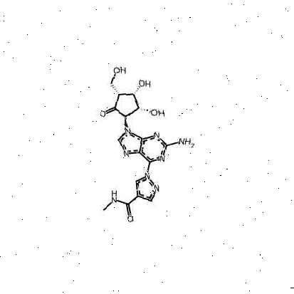 CNC(=O)c1cnn(-c2nc(N)nc3c2ncn3[C@H]2C(=O)[C@H](CO)[C@H](O)[C@@H]2O)c1